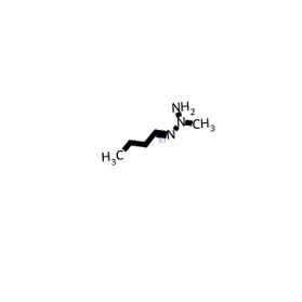 CCC/C=N/N(C)N